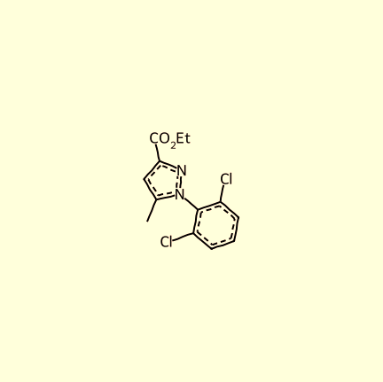 CCOC(=O)c1cc(C)n(-c2c(Cl)cccc2Cl)n1